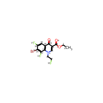 CCOC(=O)c1cn(CCF)c2c(F)c(Br)c(F)cc2c1=O